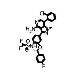 C[C@H](Oc1cc(-c2nn(C)c3c(-c4ccccc4Cl)cnc(N)c23)ccc1NS(=O)(=O)C(F)F)c1ccc(F)cc1